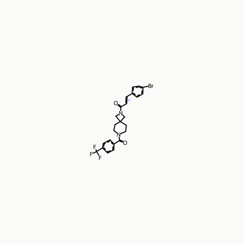 O=C(/C=C/c1ccc(Br)cc1)N1CC2(CCN(C(=O)c3ccc(C(F)(F)F)cc3)CC2)C1